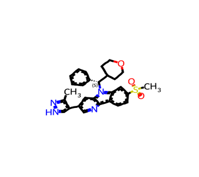 Cc1n[nH]cc1-c1cnc2c3ccc(S(C)(=O)=O)cc3n([C@H](c3ccccc3)C3CCOCC3)c2c1